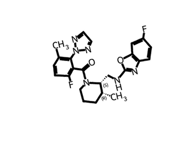 Cc1ccc(F)c(C(=O)N2CCC[C@@H](C)[C@H]2CNc2nc3ccc(F)cc3o2)c1-n1nccn1